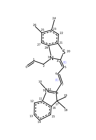 C=CCN1/C(=C\C=C\C2=[N+](C)c3ccccc3C2(C)C)Sc2cc(C)c(C)cc21